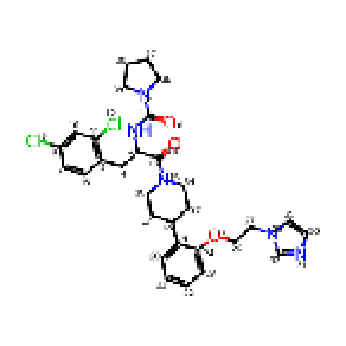 O=C(N[C@H](Cc1ccc(Cl)cc1Cl)C(=O)N1CCC(c2ccccc2OCCn2ccnc2)CC1)N1CCCC1